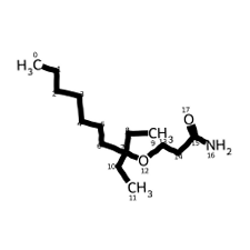 CCCCCCCC(CC)(CC)OCCC(N)=O